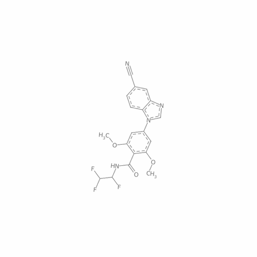 COc1cc(-n2cnc3cc(C#N)ccc32)cc(OC)c1C(=O)NC(F)C(F)F